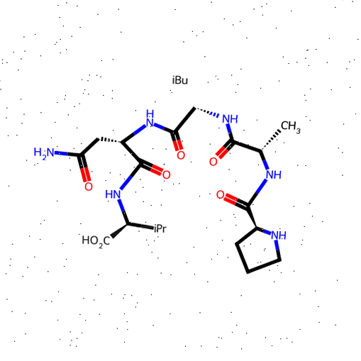 CC[C@H](C)[C@H](NC(=O)[C@H](C)NC(=O)[C@@H]1CCCN1)C(=O)N[C@@H](CC(N)=O)C(=O)N[C@H](C(=O)O)C(C)C